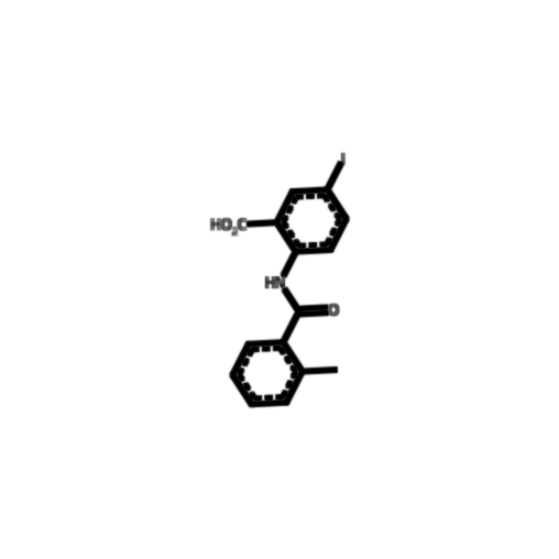 Cc1ccccc1C(=O)Nc1ccc(I)cc1C(=O)O